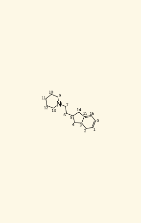 C1=CCC2CC(CCN3CCCCC3)CC2=C1